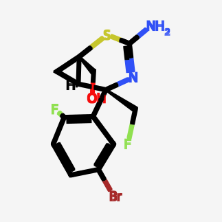 NC1=N[C@](CF)(c2cc(Br)ccc2F)[C@@H]2C[C@]2(CO)S1